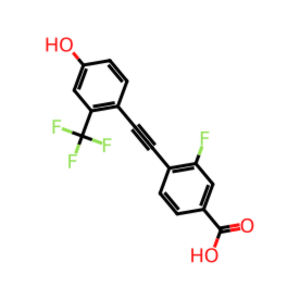 O=C(O)c1ccc(C#Cc2ccc(O)cc2C(F)(F)F)c(F)c1